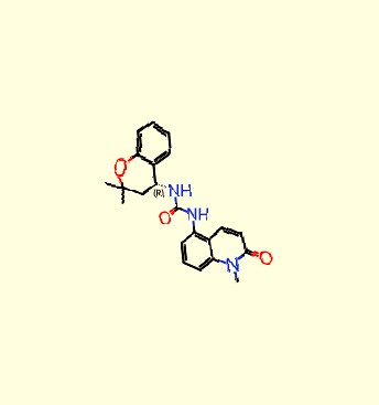 Cn1c(=O)ccc2c(NC(=O)N[C@@H]3CC(C)(C)Oc4ccccc43)cccc21